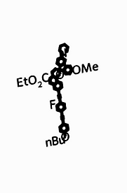 CCCCOc1ccc(C#Cc2ccc(C#Cc3ccc4c5c(c(C(=O)OCC)cc4c3)C=CC(c3ccc(OC)cc3)(c3ccc(N4CCCCC4)cc3)O5)c(F)c2)cc1